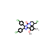 CCOc1cc(C(F)(F)F)ccc1C1=NC(c2ccc(Cl)cc2)C(c2ccc(Cl)cc2)N1C(=O)N1CCC(CBr)CC1